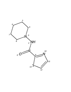 O=C(NN1CCCCC1)c1nccs1